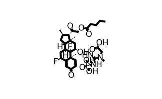 CCCCC(=O)OCC(=O)[C@H]1[C@H](C)C[C@H]2[C@@H]3C[C@H](F)C4=CC(=O)C=C[C@]4(C)[C@@]3(F)[C@@H](O)C[C@@]21C.CN(CC(=O)O)C(=N)NP(=O)(O)O